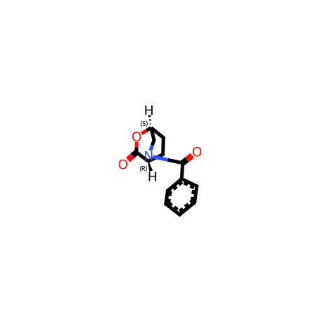 O=C1O[C@H]2CC[C@H]1N(C(=O)c1ccccc1)C2